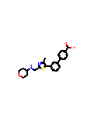 Cc1nc(CNC2CCOCC2)sc1-c1cccc(-c2ccc(C(=O)O)cc2)c1